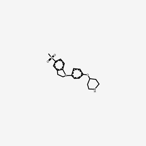 CS(=O)(=O)c1ccc2c(c1)CCN2c1ccc(OC2CCNCC2)cc1